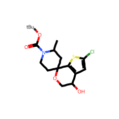 CC1CC2(CCN1C(=O)OC(C)(C)C)OCC(O)c1cc(Cl)sc12